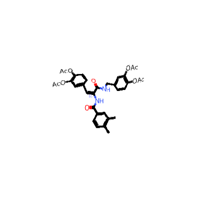 CC(=O)Oc1ccc(/C=C(/NC(=O)c2ccc(C)c(C)c2)C(=O)NCc2ccc(OC(C)=O)c(OC(C)=O)c2)cc1OC(C)=O